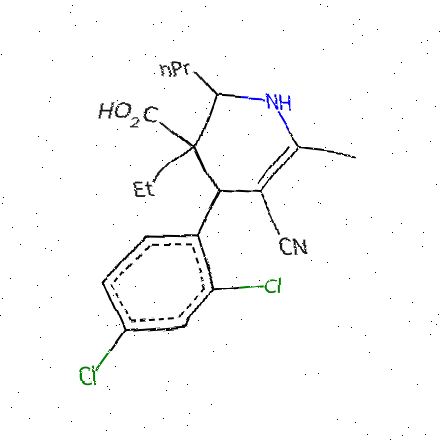 CCCC1NC(C)=C(C#N)C(c2ccc(Cl)cc2Cl)C1(CC)C(=O)O